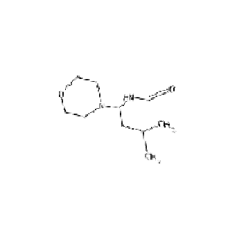 CC(C)CC(NC=O)N1CCOCC1